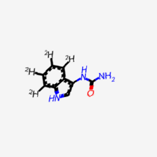 [2H]c1c([2H])c([2H])c2c(NC(N)=O)c[nH]c2c1[2H]